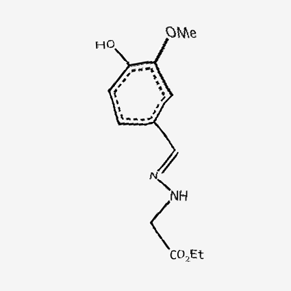 CCOC(=O)CN/N=C/c1ccc(O)c(OC)c1